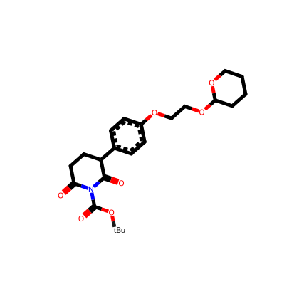 CC(C)(C)OC(=O)N1C(=O)CCC(c2ccc(OCCOC3CCCCO3)cc2)C1=O